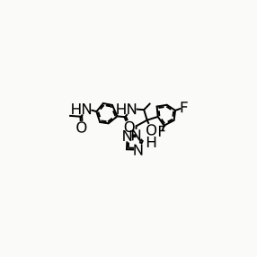 CC(=O)Nc1ccc(C(=O)NC(C)C(O)(Cn2cncn2)c2ccc(F)cc2F)cc1